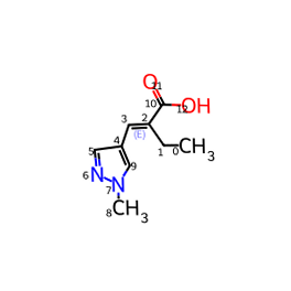 CC/C(=C\c1cnn(C)c1)C(=O)O